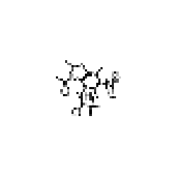 CC(=O)N1c2c(c(C)c([N+](=O)[O-])c(C)c2NC(=O)C(C)(C)C)CC1C